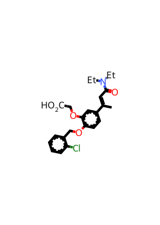 CCN(CC)C(=O)C=C(C)c1ccc(OCc2ccccc2Cl)c(OCC(=O)O)c1